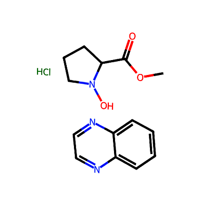 COC(=O)C1CCCN1O.Cl.c1ccc2nccnc2c1